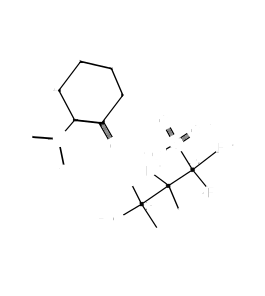 C[S+](C)C1CCCCC1=O.O=S(=O)([O-])C(F)(F)C(F)(F)C(F)(F)C(F)(F)F